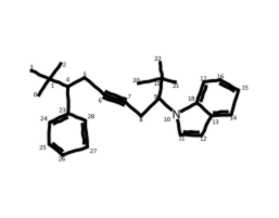 CC(C)(C)C(CC#CCC(n1ccc2ccccc21)C(C)(C)C)c1ccccc1